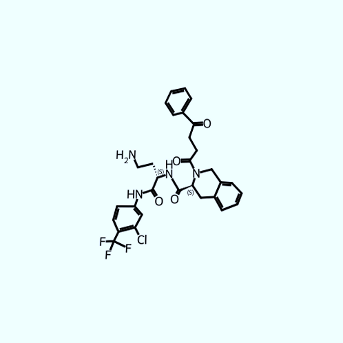 NCC[C@H](NC(=O)[C@@H]1Cc2ccccc2CN1C(=O)CCC(=O)c1ccccc1)C(=O)Nc1ccc(C(F)(F)F)c(Cl)c1